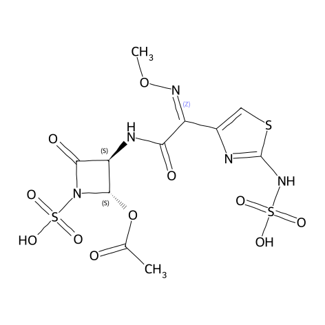 CO/N=C(\C(=O)N[C@@H]1C(=O)N(S(=O)(=O)O)[C@H]1OC(C)=O)c1csc(NS(=O)(=O)O)n1